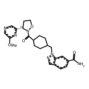 COc1cncc([C@@H]2CCON2C(=O)C2CCC(Cn3ncc4ccc(C(N)=O)cc43)CC2)n1